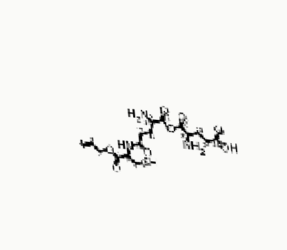 C=CCOC(=O)C(CS)NC(=O)CCC(N)C(=O)OC(=O)C(N)CCC(=O)O